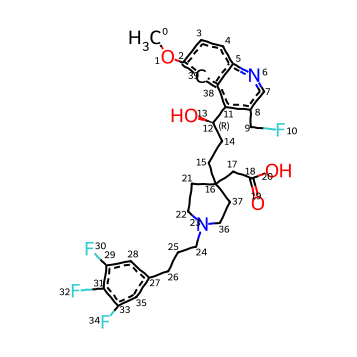 COc1ccc2ncc(CF)c([C@H](O)CCC3(CC(=O)O)CCN(CCCc4cc(F)c(F)c(F)c4)CC3)c2c1